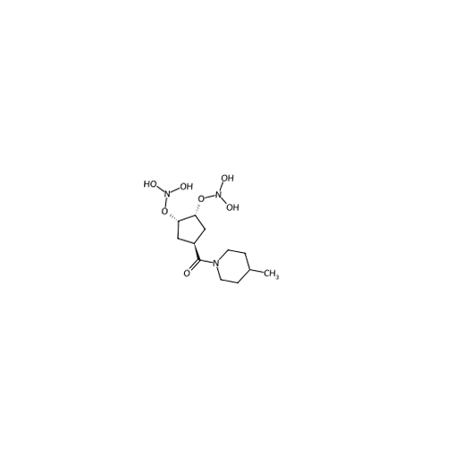 CC1CCN(C(=O)[C@H]2C[C@H](ON(O)O)[C@H](ON(O)O)C2)CC1